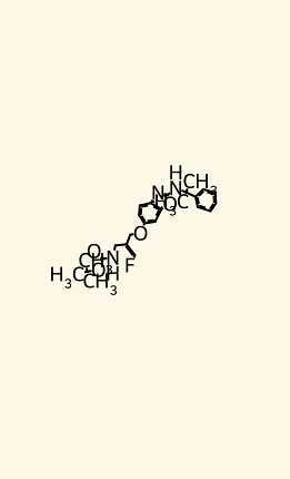 CC(C)(C)OC(=O)NCC(=CF)COc1ccc2nc(NC(C)(C)c3ccccc3)oc2c1